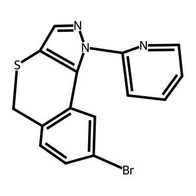 Brc1ccc2c(c1)-c1c(cnn1-c1ccccn1)SC2